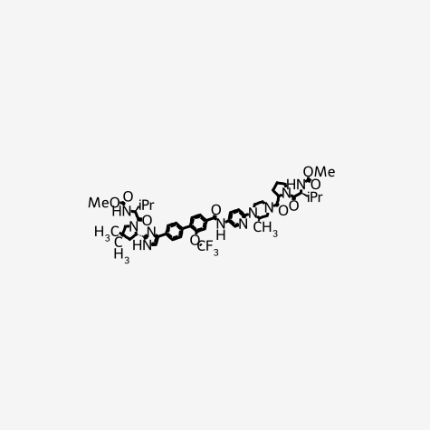 COC(=O)N[C@H](C(=O)N1CCCC1C(=O)N1CCN(c2ccc(NC(=O)c3ccc(-c4ccc(-c5c[nH]c([C@@H]6CC(C)(C)CN6C(=O)[C@@H](NC(=O)OC)C(C)C)n5)cc4)c(OC(F)(F)F)c3)cn2)[C@H](C)C1)C(C)C